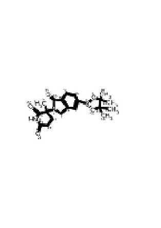 CC1(N2Cc3cc(B4OC(C)(C)C(C)(C)O4)ccc3C2=O)CCC(=O)NC1=O